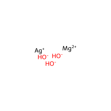 [Ag+].[Mg+2].[OH-].[OH-].[OH-]